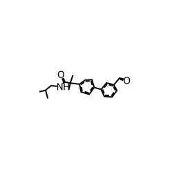 CC(C)CNC(=O)C(C)(C)c1ccc(-c2cccc(C=O)c2)cc1